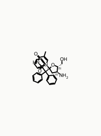 Cc1cn([C@@]2(C(c3ccccc3)(c3ccccc3)c3ccccc3)C[C@H](N)[C@@H](CO)O2)c(=O)[nH]c1=O